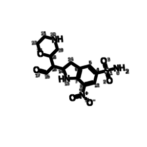 NS(=O)(=O)c1cc2c(c([N+](=O)[O-])c1)NC(C(C=O)C1CNCCO1)C2